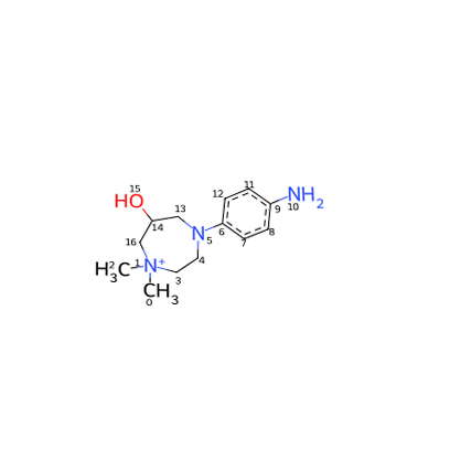 C[N+]1(C)CCN(c2ccc(N)cc2)CC(O)C1